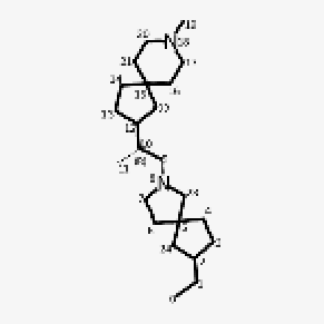 CCC1CCC2(CCN(C[C@H](C)C3CCC4(CCN(C)CC4)C3)C2)C1